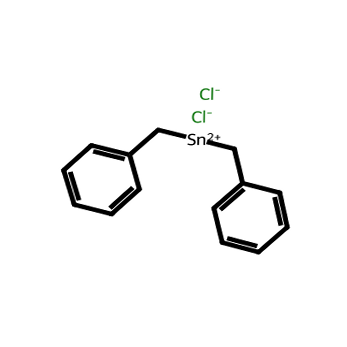 [Cl-].[Cl-].c1ccc([CH2][Sn+2][CH2]c2ccccc2)cc1